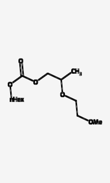 CCCCCCOC(=O)OCC(C)OCCOC